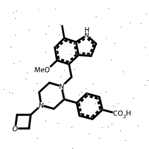 COc1cc(C)c2[nH]ccc2c1CN1CCN(C2COC2)CC1c1ccc(C(=O)O)cc1